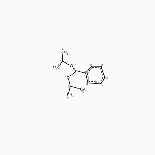 CC(C)OP(OC(C)C)c1ccccc1